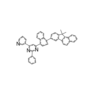 CC1(C)c2ccc(-c3ccc(-c4cc(-c5cccnc5)nc(-c5ccccc5)n4)c4ccccc34)cc2-c2ccc3ccccc3c21